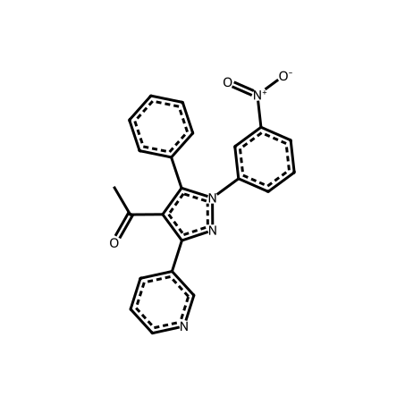 CC(=O)c1c(-c2cccnc2)nn(-c2cccc([N+](=O)[O-])c2)c1-c1ccccc1